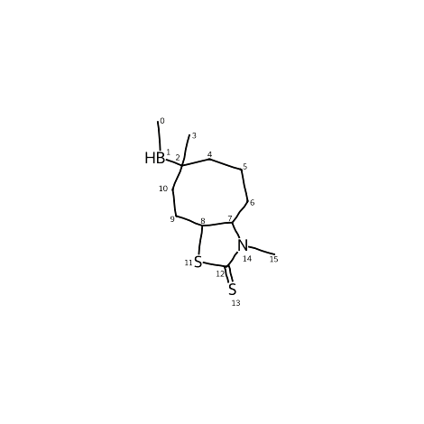 CBC1(C)CCCC2C(CC1)SC(=S)N2C